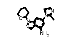 Cc1nccn1-c1cc(N)c2cnn(C3CCCCO3)c2c1